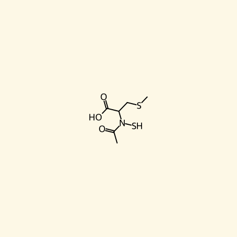 CSCC(C(=O)O)N(S)C(C)=O